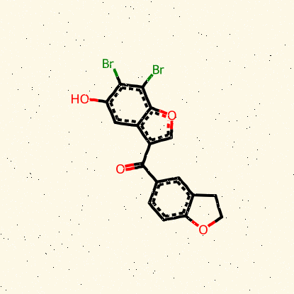 O=C(c1ccc2c(c1)CCO2)c1coc2c(Br)c(Br)c(O)cc12